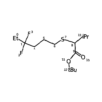 CCC(F)(F)CCCSC(C(=O)OC(C)(C)C)C(C)C